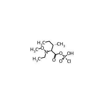 CC[C@H](C)[C@@H](C(=O)OP(=O)(O)Cl)N(CC)OC